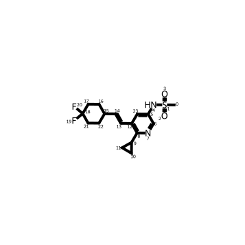 CS(=O)(=O)Nc1cnc(C2CC2)c(C=CC2CCC(F)(F)CC2)c1